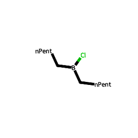 CCCCCCB(Cl)CCCCCC